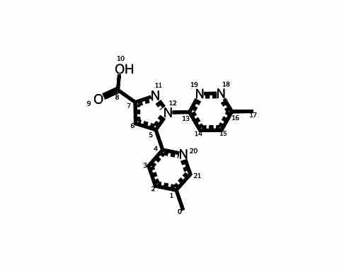 Cc1ccc(-c2cc(C(=O)O)nn2-c2ccc(C)nn2)nc1